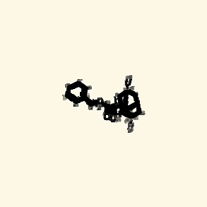 NC(=O)[C@]12CC3C[C@H](C1)[C@@H](NC(=O)OCc1ccccc1)[C@@H](C3)C2